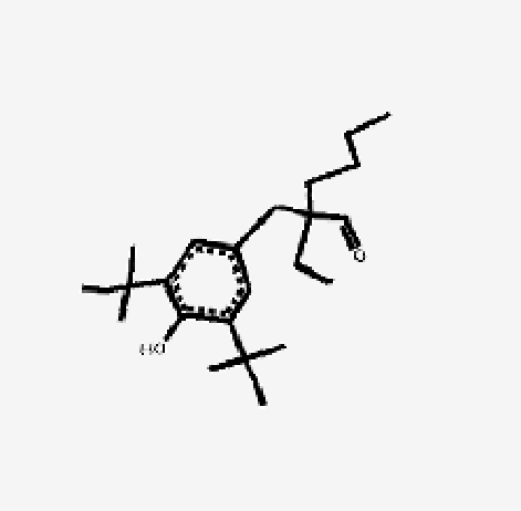 CCCCC(C=O)(CC)Cc1cc(C(C)(C)C)c(O)c(C(C)(C)C)c1